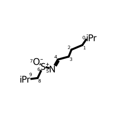 CC(C)CCCC=N[S+]([O-])CC(C)C